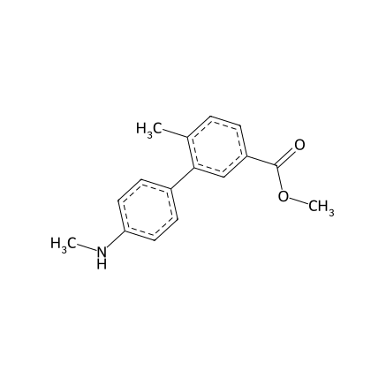 CNc1ccc(-c2cc(C(=O)OC)ccc2C)cc1